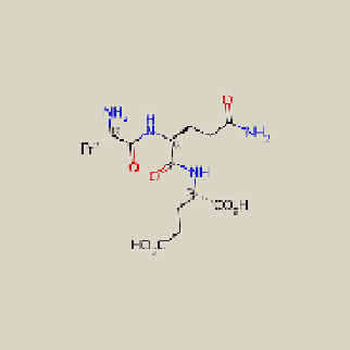 CC(C)[C@H](N)C(=O)N[C@@H](CCC(N)=O)C(=O)N[C@@H](CCC(=O)O)C(=O)O